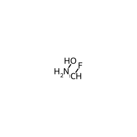 NO.[CH]F